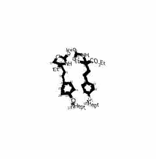 CCCCCCCOc1ccc(CCC(CC)(NC(=O)OC)C(=O)OCC)cc1.CCCCCCCOc1ccc(CCC2(CC)COC(=O)N2)cc1